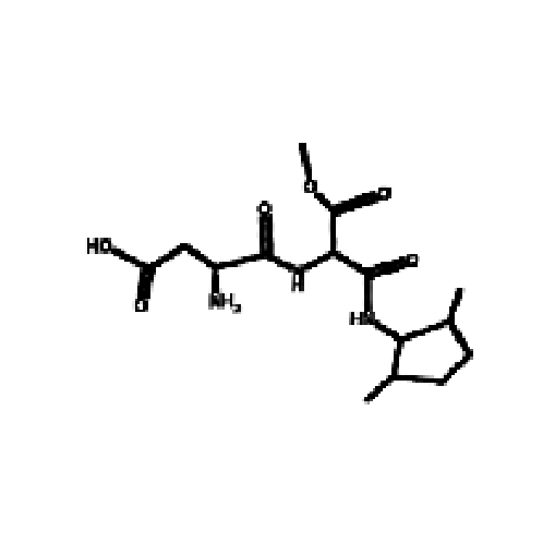 COC(=O)C(NC(=O)[C@@H](N)CC(=O)O)C(=O)NC1C(C)CCC1C